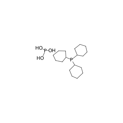 C1CCC(P(C2CCCCC2)C2CCCCC2)CC1.OP(O)O